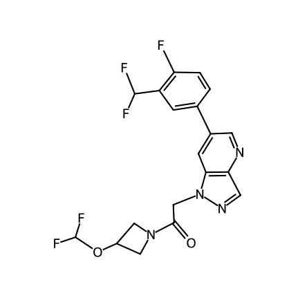 O=C(Cn1ncc2ncc(-c3ccc(F)c(C(F)F)c3)cc21)N1CC(OC(F)F)C1